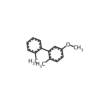 COc1ccc(C)c(-c2ccccc2C)c1